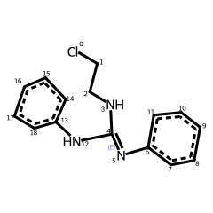 ClCCN/C(=N\c1ccccc1)Nc1ccccc1